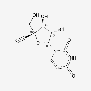 C#C[C@]1(CO)O[C@@H](n2ccc(=O)[nH]c2=O)[C@@H](Cl)[C@@H]1O